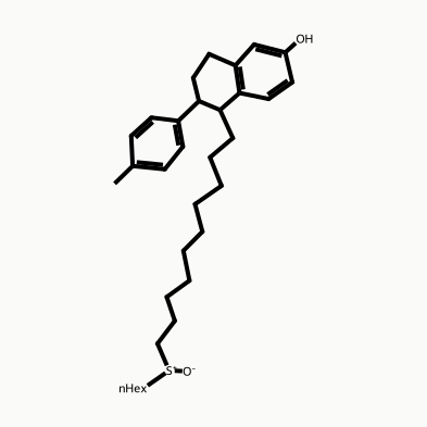 CCCCCC[S+]([O-])CCCCCCCCCCC1c2ccc(O)cc2CCC1c1ccc(C)cc1